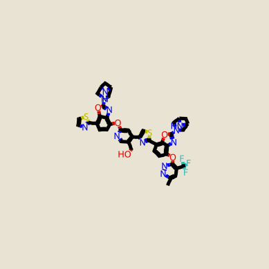 Cc1cc(C(F)(F)F)c(Oc2ccc(-c3nc(-c4cc(Oc5ccc(-c6nccs6)c6oc(N7CC8CC(C7)N8)nc56)ncc4CO)cs3)c3oc(N4CC5CC(C4)N5)nc23)nn1